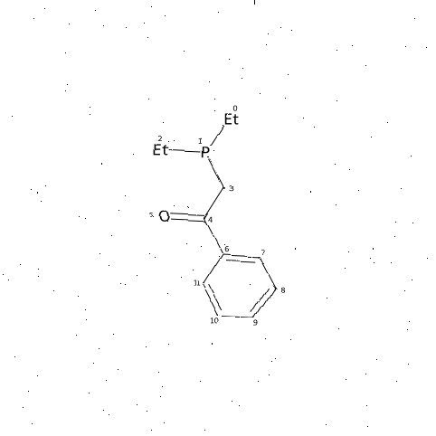 CCP(CC)CC(=O)c1ccccc1